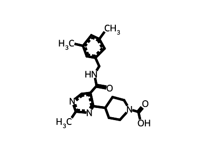 Cc1cc(C)cc(CNC(=O)c2cnc(C)nc2C2CCN(C(=O)O)CC2)c1